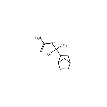 CC(C)(NC(N)=O)C1CC2C=CC1C2